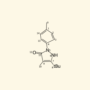 Cc1ccc(-n2[nH]c(C(C)(C)C)c(C)c2=O)cc1